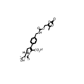 Cc1oc(=O)oc1COC(=O)NCc1ccc(C2=C(C(=O)O)N3C(=O)[C@H]([C@@H](C)O)[C@H]3C2)cc1